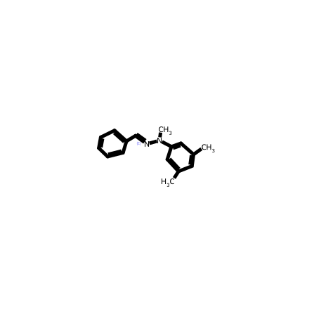 Cc1cc(C)cc(N(C)/N=C/c2ccccc2)c1